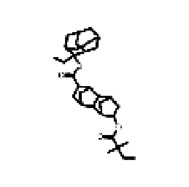 CCC(C)(C)C(=O)OC1CC2CC1C1C3CC(C(=O)OC4(CC)C5CC6CC(C5)CC4C6)C(C3)C21